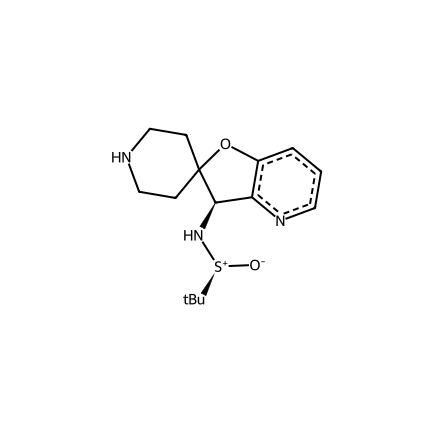 CC(C)(C)[S@+]([O-])N[C@@H]1c2ncccc2OC12CCNCC2